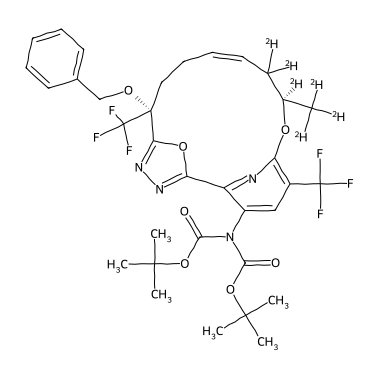 [2H]C([2H])([2H])[C@@]1([2H])Oc2nc(c(N(C(=O)OC(C)(C)C)C(=O)OC(C)(C)C)cc2C(F)(F)F)-c2nnc(o2)[C@@](OCc2ccccc2)(C(F)(F)F)CCC=CC1([2H])[2H]